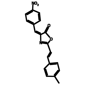 Cc1ccc(C=CC2=NC(=Cc3ccc([N+](=O)[O-])cc3)C(=O)O2)cc1